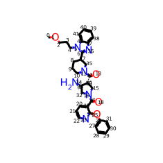 COCCCn1c(C2CCCN(C(=O)[C@@H]3CN(C(=O)c4cccnc4Oc4ccccc4)C[C@H]3N)C2)nc2ccccc21